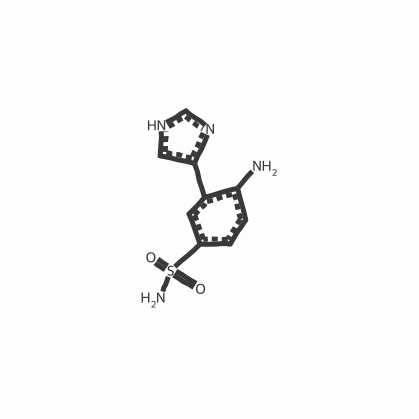 Nc1ccc(S(N)(=O)=O)cc1-c1c[nH]cn1